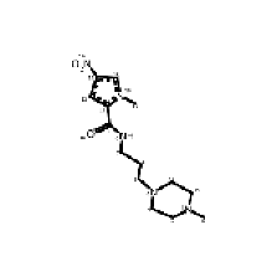 CN1CCN(CCCNC(=O)c2cc([N+](=O)[O-])cn2C)CC1